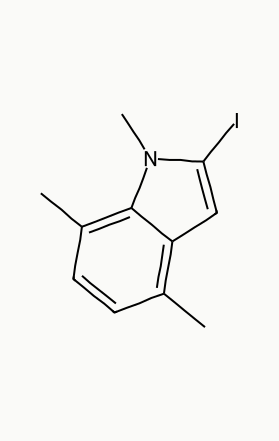 Cc1ccc(C)c2c1cc(I)n2C